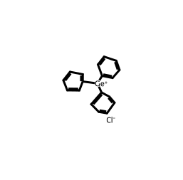 [Cl-].c1cc[c]([Ge+]([c]2ccccc2)[c]2ccccc2)cc1